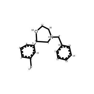 Fc1cccc([C@H]2CN(Cc3ccccc3)CCO2)c1